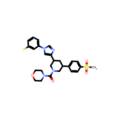 CS(=O)(=O)c1ccc(C2CC(c3cn(-c4cccc(F)c4)cn3)CN(C(=O)N3CCOCC3)C2)cc1